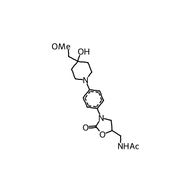 COCC1(O)CCN(c2ccc(N3CC(CNC(C)=O)OC3=O)cc2)CC1